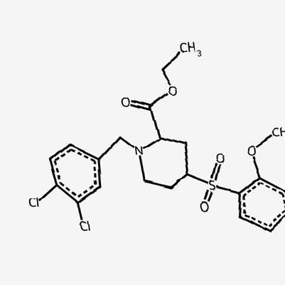 CCOC(=O)C1CC(S(=O)(=O)c2ccccc2OC)CCN1Cc1ccc(Cl)c(Cl)c1